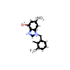 Cc1c(Cn2cnc3c(Br)cc([N+](=O)[O-])cc32)cccc1C(F)(F)F